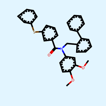 COc1ccc(N(Cc2ccccc2-c2ccccc2)C(=O)c2cccc(Sc3ccccc3)c2)cc1OC